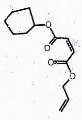 C=CCOC(=O)/C=C\C(=O)OC1CCCCC1